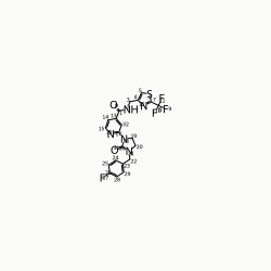 O=C(NCc1csc(C(F)(F)F)n1)c1ccnc(N2CCN(Cc3ccc(F)cc3)C2=O)c1